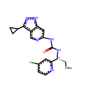 COC[C@@H](NC(=O)Nc1cc2[nH]nc(C3CC3)c2cn1)c1cc(F)ccn1